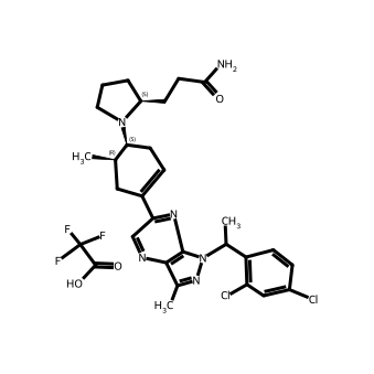 Cc1nn(C(C)c2ccc(Cl)cc2Cl)c2nc(C3=CC[C@H](N4CCC[C@H]4CCC(N)=O)[C@H](C)C3)cnc12.O=C(O)C(F)(F)F